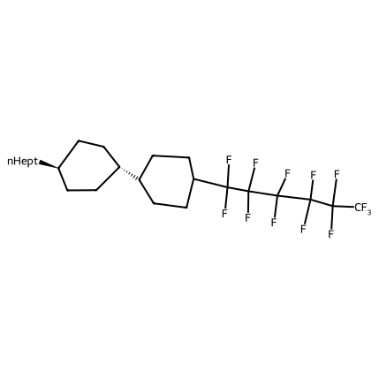 CCCCCCC[C@H]1CC[C@H](C2CCC(C(F)(F)C(F)(F)C(F)(F)C(F)(F)C(F)(F)C(F)(F)F)CC2)CC1